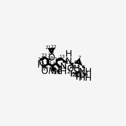 [2H]C([2H])([2H])N(C[C@@H]1C[C@H]1C(=O)Nc1ccc2c(-c3c(OC4CC4)ccnc3OC)c[nH]c2n1)C([2H])([2H])[2H]